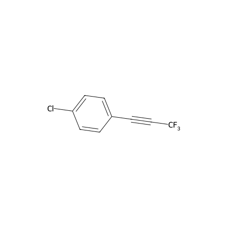 FC(F)(F)C#Cc1ccc(Cl)cc1